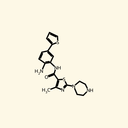 Cc1nc(N2CCNCC2)sc1C(=O)Nc1cc(-c2cccs2)ccc1N